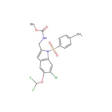 Cc1ccc(S(=O)(=O)n2c(CNC(=O)OC(C)(C)C)cc3cc(OC(F)F)c(Br)cc32)cc1